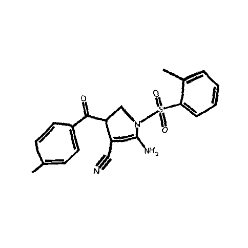 Cc1ccc(C(=O)C2CN(S(=O)(=O)c3ccccc3C)C(N)=C2C#N)cc1